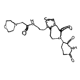 O=C(CN1CCOCC1)NCc1scc2c1CN(C1CCC(=O)NC1=O)C2=O